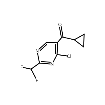 O=C(c1cnc(C(F)F)nc1Cl)C1CC1